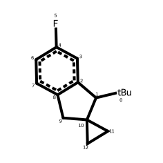 CC(C)(C)C1c2cc(F)ccc2CC12CC2